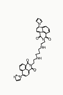 O=C1c2cccc3c(-n4cccc4)ccc(c23)C(=O)N1CCNCCCNCCN1C(=O)c2cccc3c(-n4ccnc4)ccc(c23)C1=O